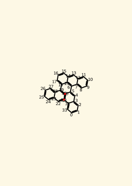 c1ccc2cc(-c3c4ccccc4cc4cccc(-c5cccc6ccccc56)c34)ccc2c1